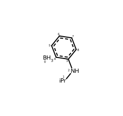 B.CC(C)Nc1ccccc1